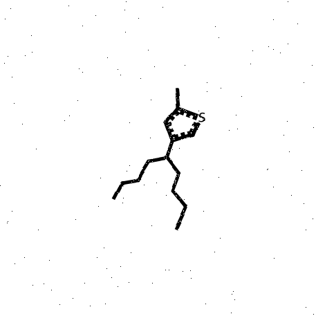 CCCCC(CCCC)c1csc(C)c1